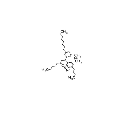 CCCCCCCCc1cccc(C(=CC(=C=[N+]=[N-])CCCCC)c2ccc(CCCC)cc2)c1.[CH3][Ni][CH3]